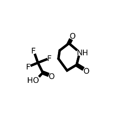 O=C(O)C(F)(F)F.O=C1CCCC(=O)N1